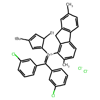 CCC1C=C(C(C)(C)C)C=[C]1[Zr+2](=[C](c1cccc(Cl)c1)c1cccc(Cl)c1)[c]1c(C)ccc2c1Cc1cc(C)ccc1-2.[Cl-].[Cl-]